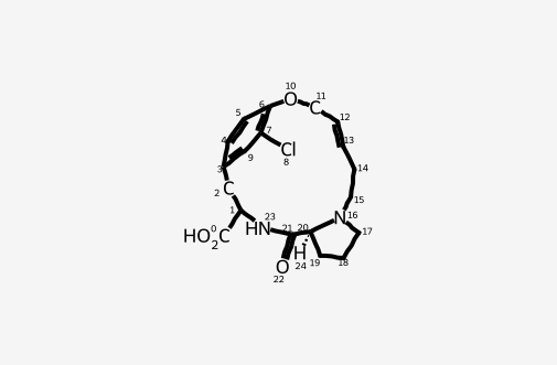 O=C(O)C1Cc2ccc(c(Cl)c2)OC/C=C/CCN2CCC[C@H]2C(=O)N1